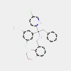 Fc1cc(C(F)(F)F)cc(C(Cc2ccccc2)(NCc2cccc3c2OCCO3)c2ccc(Cl)cn2)c1